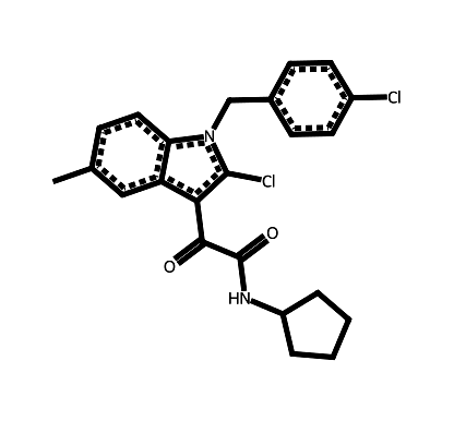 Cc1ccc2c(c1)c(C(=O)C(=O)NC1CCCC1)c(Cl)n2Cc1ccc(Cl)cc1